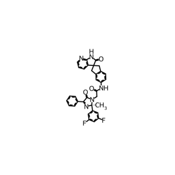 C[C@]1(c2cc(F)cc(F)c2)N=C(c2ccccc2)C(=O)N1CC(=O)Nc1ccc2c(c1)CC1(C2)C(=O)Nc2ncccc21